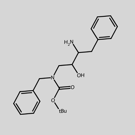 CC(C)(C)OC(=O)N(Cc1ccccc1)CC(O)C(N)Cc1ccccc1